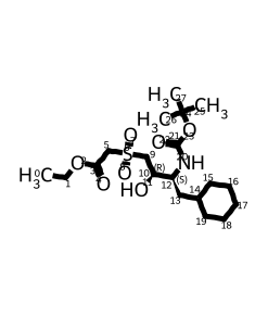 CCOC(=O)CS(=O)(=O)C[C@H](O)[C@H](CC1CCCCC1)NC(=O)OC(C)(C)C